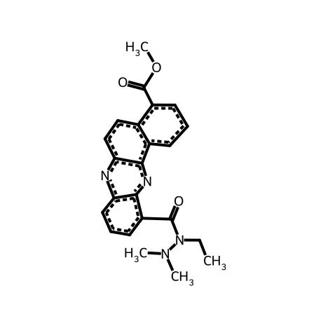 CCN(C(=O)c1cccc2nc3ccc4c(C(=O)OC)cccc4c3nc12)N(C)C